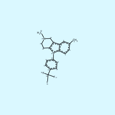 Cc1ccc2c(c1)c1c(n2-c2ccc(C(F)(F)F)cc2)CCN(C)C1